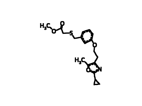 COC(=O)CSCc1cccc(OCCc2nc(C3CC3)oc2C)c1